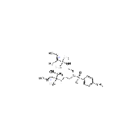 C/C(=N\O)C(C)(C)NCCN(CCNC(C)(C)/C(C)=N/O)S(=O)(=O)c1ccc(C)cc1